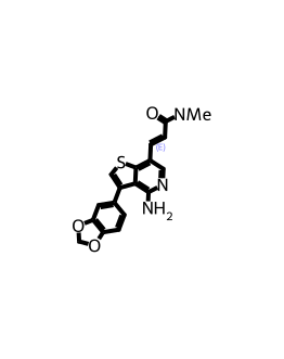 CNC(=O)/C=C/c1cnc(N)c2c(-c3ccc4c(c3)OCO4)csc12